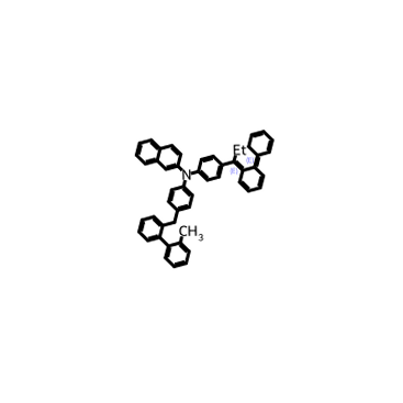 CC/C(c1ccc(N(c2ccc(Cc3ccccc3-c3ccccc3C)cc2)c2ccc3ccccc3c2)cc1)=c1/cccc/c1=C1\C=CC=CC1